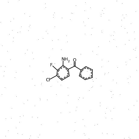 Nc1c(C(=O)c2ccccc2)ccc(Cl)c1F